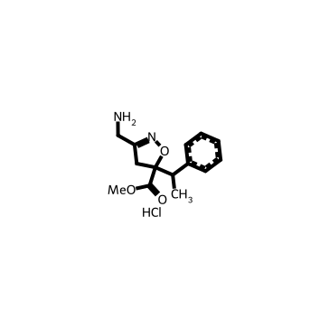 COC(=O)C1(C(C)c2ccccc2)CC(CN)=NO1.Cl